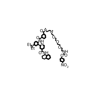 CCN(CC)c1ccc(NC(=O)c2cccc(C(=O)N(C)CCN(C)CCOCCOCCOCCNC(=O)Oc3ccc([N+](=O)[O-])cc3)c2)c(-c2cc(C(=O)NC3CCCc4ccccc43)ccn2)c1